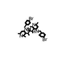 Cc1cc(NCc2ccc(Br)cc2)c(C(C)C(=O)C(C)c2c(NCc3ccc(Br)cc3)cc(C)nc2C)c(C)n1